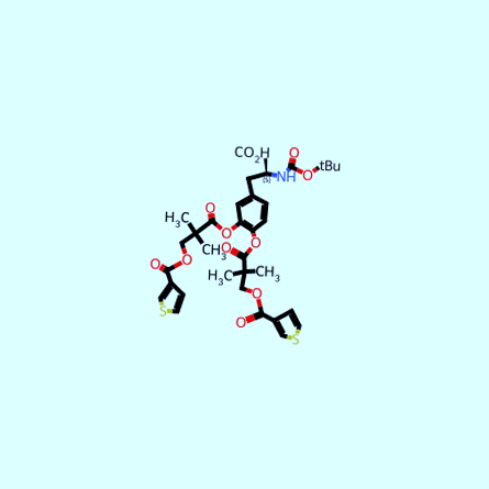 CC(C)(C)OC(=O)N[C@@H](Cc1ccc(OC(=O)C(C)(C)COC(=O)c2ccsc2)c(OC(=O)C(C)(C)COC(=O)c2ccsc2)c1)C(=O)O